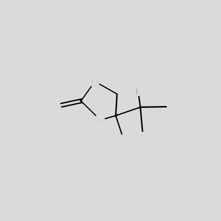 CC(F)(F)C1(F)COC(=O)O1